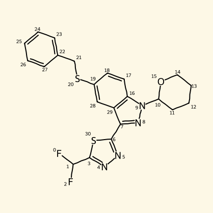 FC(F)c1nnc(-c2nn(C3CCCCO3)c3ccc(SCc4ccccc4)cc23)s1